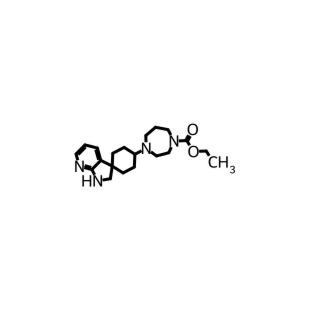 CCOC(=O)N1CCCN(C2CCC3(CC2)CNc2ncccc23)CC1